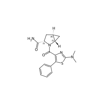 CN(C)c1nc(C(=O)N2[C@H](C(N)=O)C[C@H]3C[C@@H]32)c(-c2ccccc2)s1